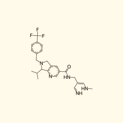 CN/C=C(\C=N)CNC(=O)c1cnc2c(c1)CN(Cc1ccc(C(F)(F)F)cc1)C2C(C)C